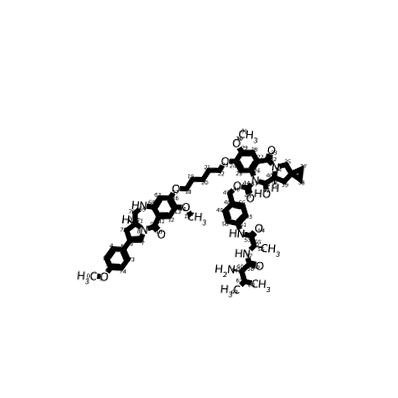 COc1ccc(C2=CN3C(=O)c4cc(OC)c(OCCCCCOc5cc6c(cc5OC)C(=O)N5CC7(CC7)C[C@H]5C(O)N6C(=O)OCc5ccc(NC(=O)[C@H](C)NC(=O)[C@@H](N)C(C)C)cc5)cc4NC[C@@H]3C2)cc1